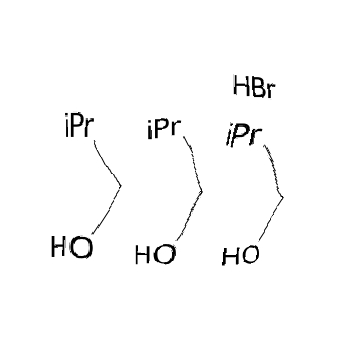 Br.CC(C)CO.CC(C)CO.CC(C)CO